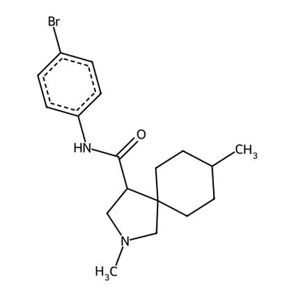 CC1CCC2(CC1)CN(C)CC2C(=O)Nc1ccc(Br)cc1